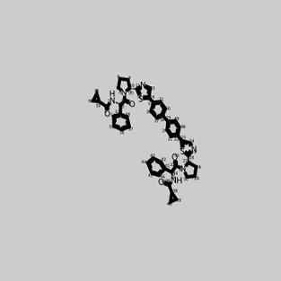 O=C(N[C@H](C(=O)N1CCC[C@@H]1c1ncc(-c2ccc(-c3ccc(-c4cnc([C@H]5CCCN5C(=O)[C@H](NC(=O)C5CC5)c5ccccc5)s4)cc3)cc2)s1)c1ccccc1)C1CC1